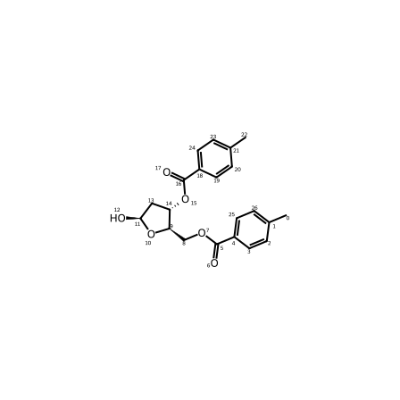 Cc1ccc(C(=O)OC[C@H]2O[C@@H](O)C[C@@H]2OC(=O)c2ccc(C)cc2)cc1